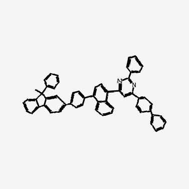 CC1(c2ccccc2)c2ccccc2-c2ccc(-c3ccc(-c4ccc(-c5cc(-c6ccc(-c7ccccc7)cc6)nc(-c6ccccc6)n5)c5ccccc45)cc3)cc21